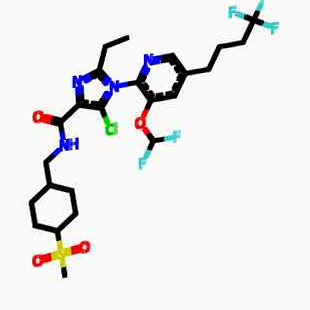 CCc1nc(C(=O)NCC2CCC(S(C)(=O)=O)CC2)c(Cl)n1-c1ncc(CCCC(F)(F)F)cc1OC(F)F